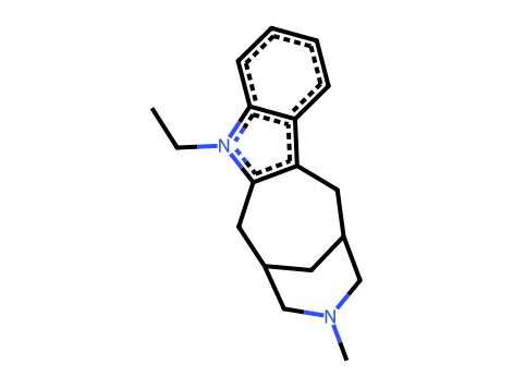 CCn1c2c(c3ccccc31)CC1CC(C2)CN(C)C1